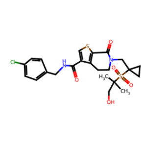 CC(C)(CO)S(=O)(=O)C1(CN2CCc3c(C(=O)NCc4ccc(Cl)cc4)csc3C2=O)CC1